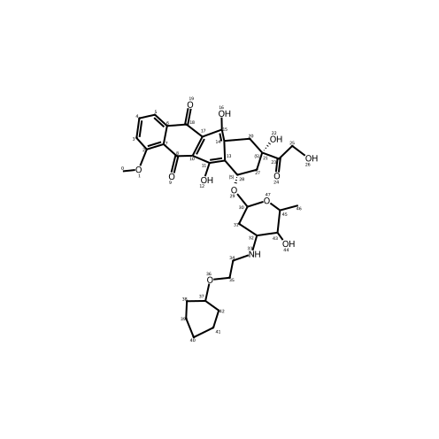 COc1cccc2c1C(=O)c1c(O)c3c(c(O)c1C2=O)C[C@@](O)(C(=O)CO)C[C@@H]3OC1CC(NCCOC2CCCCC2)C(O)C(C)O1